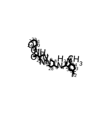 Cn1cc(CNCC2CCN(c3ncc(C(=O)NOC4CCCCO4)cn3)CC2)c2cc(F)ccc21